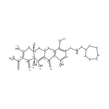 COc1c(CNCC2CCCCCC2)cc(O)c2c1CC1C[C@H]3CC(O)=C(C(N)=O)C(=O)[C@@]3(O)C(O)=C1C2=O